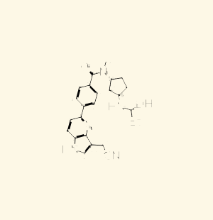 CCC(O)N[C@H]1CC[C@@H](N(C)C(=O)c2ccc(-c3ccc4[nH]cc(CC#N)c4n3)cc2)C1